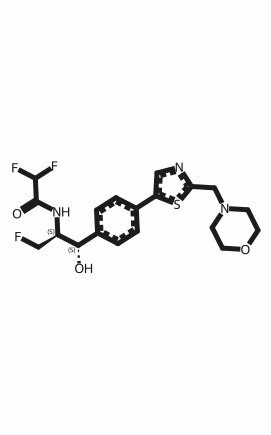 O=C(N[C@H](CF)[C@@H](O)c1ccc(-c2cnc(CN3CCOCC3)s2)cc1)C(F)F